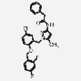 Cc1cc(NC(=O)Cc2ccccc2)nn1Cc1cc(Cl)ccc1OCc1ccc(F)cc1F